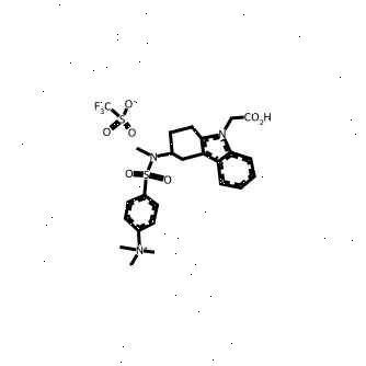 CN(C1CCc2c(c3ccccc3n2CC(=O)O)C1)S(=O)(=O)c1ccc([N+](C)(C)C)cc1.O=S(=O)([O-])C(F)(F)F